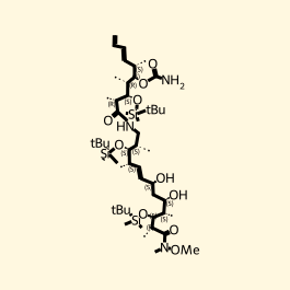 C=CC=C[C@H](C)[C@H](OC(N)=O)[C@@H](C)[C@H](O[Si](C)(C)C(C)(C)C)[C@@H](C)C(=O)CNC[C@H](C)[C@@H](O[Si](C)(C)C(C)(C)C)[C@@H](C)C=C[C@@H](O)C[C@H](O)[C@H](C)[C@H](O[Si](C)(C)C(C)(C)C)[C@@H](C)C(=O)N(C)OC